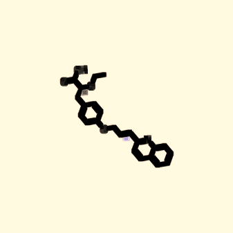 CCO[C@@H](Cc1ccc(OC/C=C/c2ccc3ccccc3n2)cc1)C(=O)O